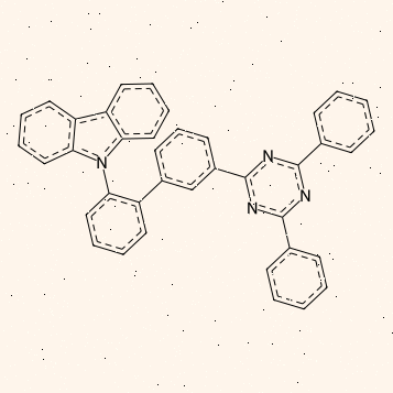 c1ccc(-c2nc(-c3ccccc3)nc(-c3cccc(-c4ccccc4-n4c5ccccc5c5ccccc54)c3)n2)cc1